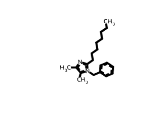 CCCCCCCCc1nc(C)c(C)n1Cc1ccccc1